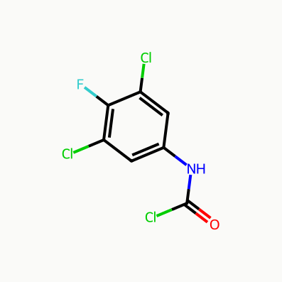 O=C(Cl)Nc1cc(Cl)c(F)c(Cl)c1